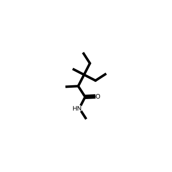 CCC(C)(CC)C(C)C(=O)NC